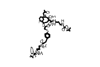 CC(=O)CC[C@]12CC[C@@H](C)[C@](C)(C1)[C@H](OC(=O)CSc1ccc(CC(=O)NCCCNC(=O)OC(C)(C)C)cc1)C[C@](C)(C(=O)NCCCNC(=O)OC(C)(C)C)[C@@H](O)[C@@H]2C